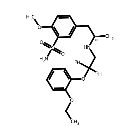 [2H]C([2H])(CN[C@H](C)Cc1ccc(OC)c(S(N)(=O)=O)c1)Oc1ccccc1OCC